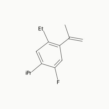 C=C(C)c1cc(F)c(C(C)C)cc1CC